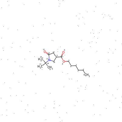 CCCCCCOC(=O)C1CC(=O)N(C(C)(C)C)C1